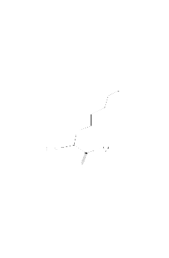 CCCCC(SCCCCF)C(=O)OC